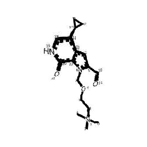 C[Si](C)(C)CCOCn1c(C=O)cc2c(C3CC3)c[nH]c(=O)c21